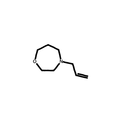 C=CCN1CCCOCC1